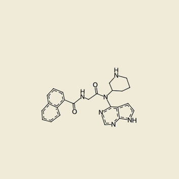 O=C(NCC(=O)N(c1ncnc2[nH]ccc12)C1CCCNC1)c1cccc2ccccc12